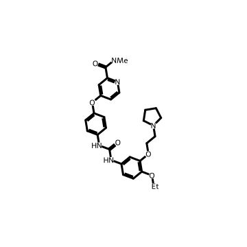 CCOc1ccc(NC(=O)Nc2ccc(Oc3ccnc(C(=O)NC)c3)cc2)cc1OCCN1CCCC1